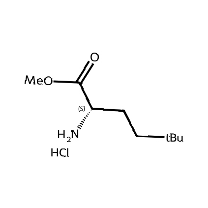 COC(=O)[C@@H](N)CCC(C)(C)C.Cl